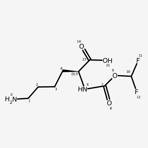 NCCCC[C@H](NC(=O)OC(F)F)C(=O)O